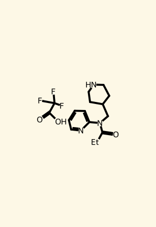 CCC(=O)N(CC1CCNCC1)c1ccccn1.O=C(O)C(F)(F)F